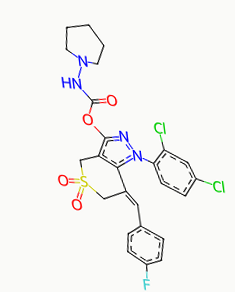 O=C(NN1CCCCC1)Oc1nn(-c2ccc(Cl)cc2Cl)c2c1CS(=O)(=O)C/C2=C\c1ccc(F)cc1